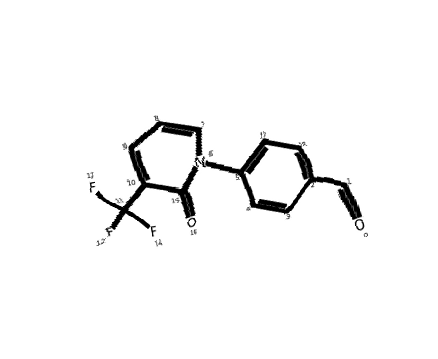 O=Cc1ccc(-n2cccc(C(F)(F)F)c2=O)cc1